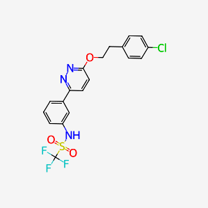 O=S(=O)(Nc1cccc(-c2ccc(OCCc3ccc(Cl)cc3)nn2)c1)C(F)(F)F